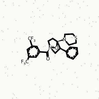 O=C(c1cc(C(F)(F)F)cc(C(F)(F)F)c1)[N@@+]12CC[C@@](N3CCSCC3)(O1)C(c1ccccc1)C2